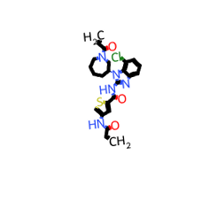 C=CC(=O)Nc1csc(C(=O)Nc2nc3cccc(Cl)c3n2[C@@H]2CCCCN(C(=O)C=C)C2)c1